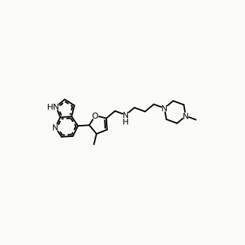 CC1C=C(CNCCCN2CCN(C)CC2)OC1c1ccnc2[nH]ccc12